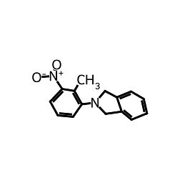 Cc1c(N2Cc3ccccc3C2)cccc1[N+](=O)[O-]